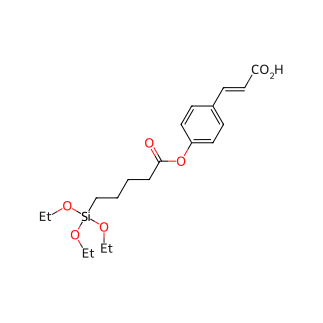 CCO[Si](CCCCC(=O)Oc1ccc(C=CC(=O)O)cc1)(OCC)OCC